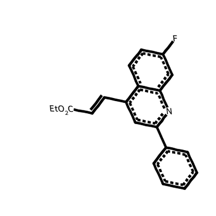 CCOC(=O)C=Cc1cc(-c2ccccc2)nc2cc(F)ccc12